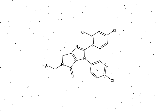 O=C1c2c(nc(-c3ccc(Cl)cc3Cl)n2-c2ccc(Cl)cc2)CN1CC(F)(F)F